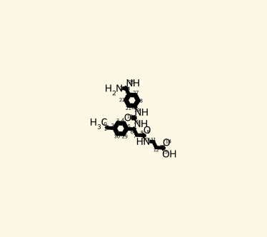 CCc1ccc(C(CC(=O)NCCC(=O)O)NC(=O)Nc2ccc(C(=N)N)cc2)cc1